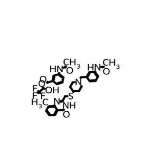 CC(=O)Nc1cccc(C=O)c1.CC(=O)Nc1cccc(CN2CCC(SCc3nc4c(C)cccc4c(=O)[nH]3)CC2)c1.O=C(O)C(F)(F)F